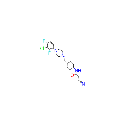 N#CCCC(=O)N[C@H]1CC[C@H](CCN2CCN(c3ccc(F)c(Cl)c3F)CC2)CC1